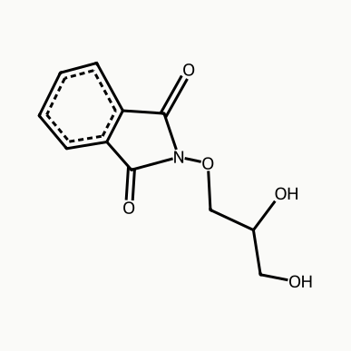 O=C1c2ccccc2C(=O)N1OCC(O)CO